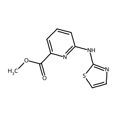 COC(=O)c1cccc(Nc2nccs2)n1